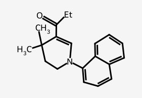 CCC(=O)C1=CN(c2cccc3ccccc23)CCC1(C)C